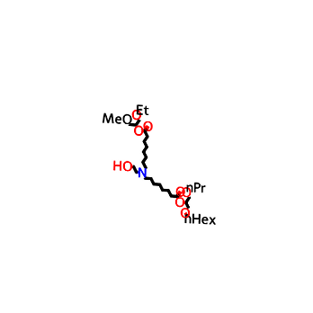 CCCCCCOCC(COCCC)OC(=O)CCCCCCCN(CCO)CCCCCCCC(=O)OC(COC)COCC